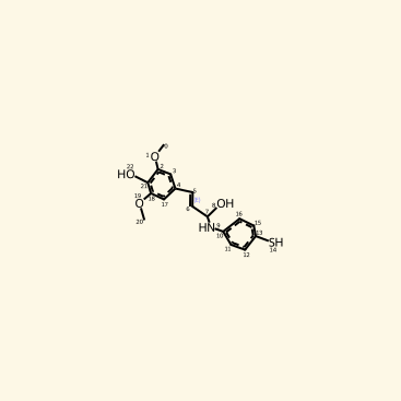 COc1cc(/C=C/C(O)Nc2ccc(S)cc2)cc(OC)c1O